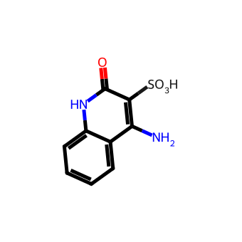 Nc1c(S(=O)(=O)O)c(=O)[nH]c2ccccc12